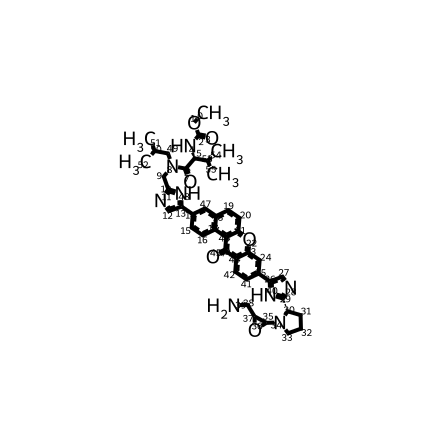 COC(=O)N[C@H](C(=O)N(Cc1ncc(-c2ccc3c(ccc4oc5cc(-c6cnc([C@@H]7CCCN7C7OC7CN)[nH]6)ccc5c(=O)c43)c2)[nH]1)CC(C)C)C(C)C